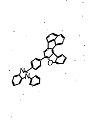 c1ccc(-n2c(-c3ccc(-c4cc5c(c6c4oc4ccccc46)-c4cccc6cccc-5c46)cc3)nc3ccccc32)cc1